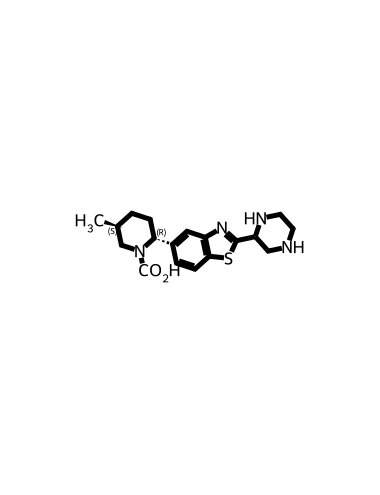 C[C@H]1CC[C@H](c2ccc3sc(C4CNCCN4)nc3c2)N(C(=O)O)C1